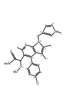 CNC(=O)C(OC(C)(C)C)c1c(C)nc2c(c(C)c(C)n2Cc2cnn(C)c2)c1-c1ccc(Cl)cc1